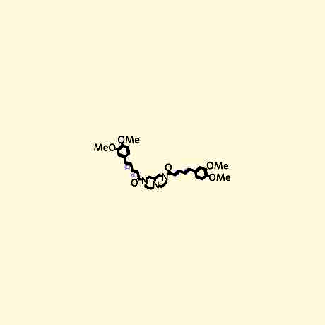 COc1ccc(/C=C/C=C/C(=O)N2CCN3CCN(C(=O)/C=C/C=C/c4ccc(OC)c(OC)c4)CC3C2)cc1OC